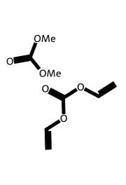 C=COC(=O)OC=C.COC(=O)OC